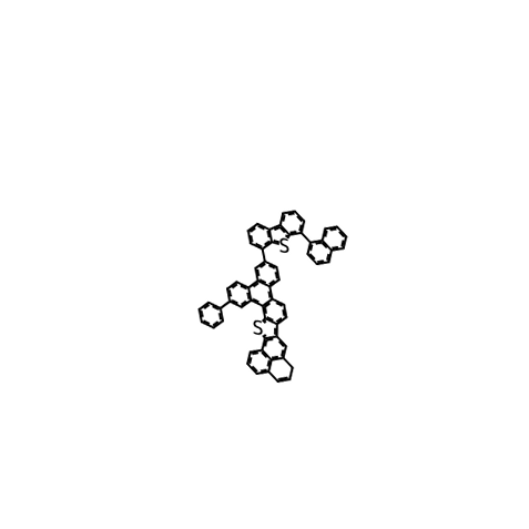 C1=Cc2cccc3c2c(cc2c4ccc5c6ccc(-c7cccc8c7sc7c(-c9cccc%10ccccc9%10)cccc78)cc6c6ccc(-c7ccccc7)cc6c5c4sc32)C1